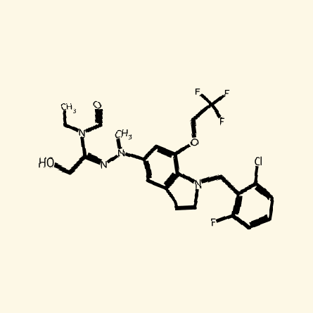 CCN(C=O)/C(CO)=N\N(C)c1cc2c(c(OCC(F)(F)F)c1)N(Cc1c(F)cccc1Cl)CC2